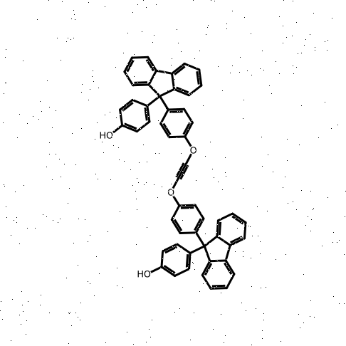 Oc1ccc(C2(c3ccc(OC#COc4ccc(C5(c6ccc(O)cc6)c6ccccc6-c6ccccc65)cc4)cc3)c3ccccc3-c3ccccc32)cc1